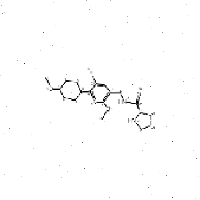 COc1nc(C2CCC(OC)CC2)c(F)cc1CNC(=O)[C@H]1CCCN1